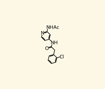 CC(=O)Nc1cc(NC(=O)Cc2ccccc2Cl)ccn1